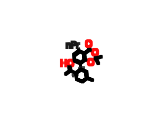 C=C(C)[C@@H]1CCC(C)=C[C@H]1c1c(O)cc(CCC)c2c1OC(C)(C)OC2=O